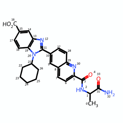 CC(NC(=O)c1ccc2cc(-c3nc4cc(C(=O)O)ccc4n3C3CCCCC3)ccc2n1)C(N)=O